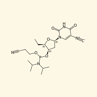 [C-]#[N+]c1cn([C@H]2C[C@@H](OP(OCCC#N)N(C(C)C)C(C)C)[C@@H](CC)O2)c(=O)[nH]c1=O